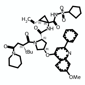 C=C[C@@H]1C[C@]1(NC(=O)[C@@H]1C[C@@H](Oc2cc(-c3ccccc3)nc3cc(OC)ccc23)CN1C(=O)[C@@H](CC(=O)N1CCCCC1)C(C)(C)C)C(=O)NS(=O)(=O)C1CCCC1